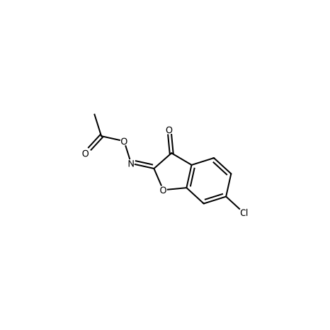 CC(=O)O/N=C1/Oc2cc(Cl)ccc2C1=O